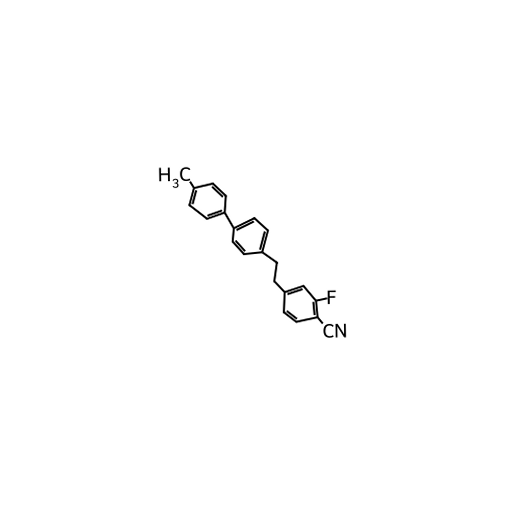 Cc1ccc(-c2ccc(CCc3ccc(C#N)c(F)c3)cc2)cc1